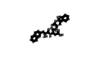 O=C(O)CC(NC(=O)[C@@H](S)Cc1ccc2ccccc2c1)C(=O)N[C@@H](Cc1c[nH]c2ccccc12)C(=O)O